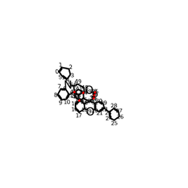 C1=CCCC(N2c3ccccc3C3C(C4=CC=CC5Oc6cc(C7=CCCC=C7)ccc6C6(C7=CC=CCC7OC7CCCCC76)C45)CCCC32)=C1